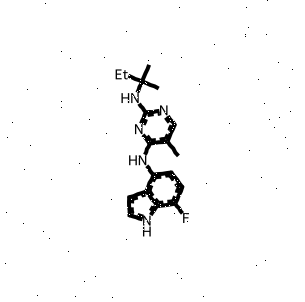 CCC(C)(C)Nc1ncc(C)c(Nc2ccc(F)c3[nH]ccc23)n1